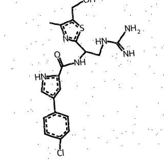 Cc1nc(C(CNC(=N)N)NC(=O)c2cc(-c3ccc(Cl)cc3)c[nH]2)sc1CO